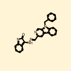 O=C1N=c2ccccc2=C1NN=Cc1cc2c3ccccc3n(Cc3ccccc3)c2cn1